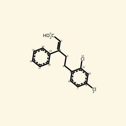 O=C(O)C=C(CCc1ccc(Cl)cc1Cl)c1ccccc1